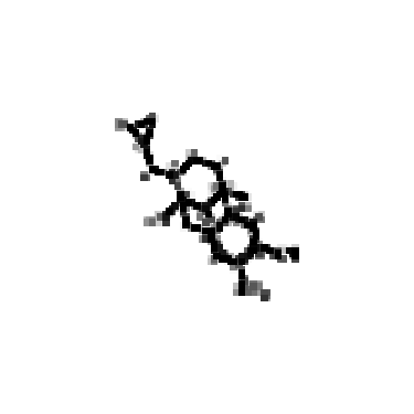 CC1[C@@H]2Cc3cc(N)c(C#N)cc3[C@@]1(C)CCN2CC1CC1